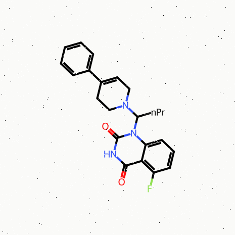 CCCC(N1CC=C(c2ccccc2)CC1)n1c(=O)[nH]c(=O)c2c(F)cccc21